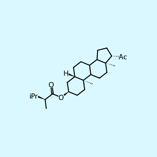 CC(=O)[C@H]1CCC2C3CC[C@H]4C[C@H](OC(=O)[C@@H](C)C(C)C)CC[C@]4(C)C3CC[C@@]21C